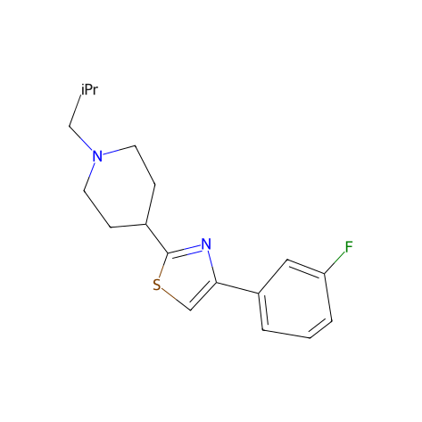 CC(C)CN1CCC(c2nc(-c3cccc(F)c3)cs2)CC1